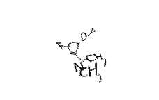 C/N=C(\C)c1cc(F)cc(OCC2CC2)c1